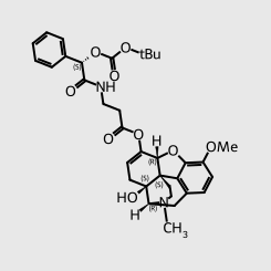 COc1ccc2c3c1O[C@H]1C(OC(=O)CCNC(=O)[C@@H](OC(=O)OC(C)(C)C)c4ccccc4)=CC[C@@]4(O)[C@@H](C2)N(C)CC[C@]314